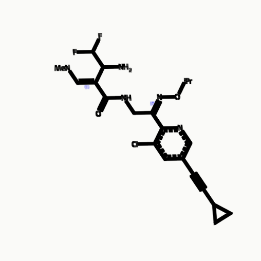 CN/C=C(/C(=O)NC/C(=N/OC(C)C)c1ncc(C#CC2CC2)cc1Cl)C(N)C(F)F